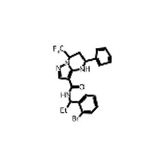 CCC(NC(=O)c1cnn2c1NC(c1ccccc1)CC2C(F)(F)F)c1ccccc1Br